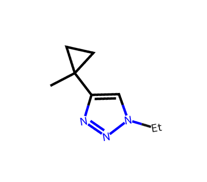 CCn1cc(C2(C)CC2)nn1